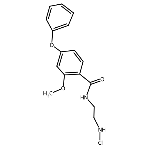 COc1cc(Oc2ccccc2)ccc1C(=O)NCCNCl